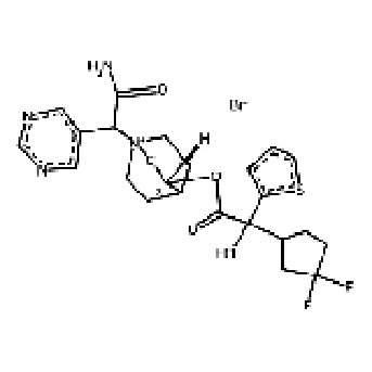 NC(=O)C(c1cncnc1)[N+]12CCC(CC1)[C@@H](OC(=O)C(O)(c1cccs1)C1CCC(F)(F)C1)C2.[Br-]